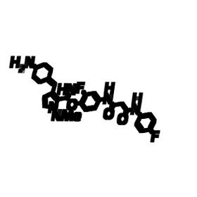 CNn1ccc(C=C2CCC(N)CC2)c1C(=N)Oc1ccc(NC(=O)CC(=O)Nc2ccc(F)cc2)cc1F